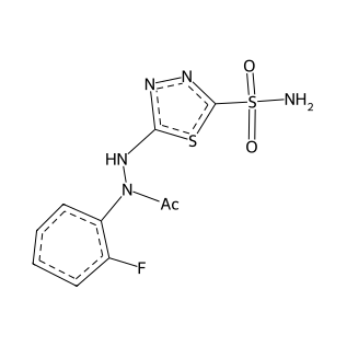 CC(=O)N(Nc1nnc(S(N)(=O)=O)s1)c1ccccc1F